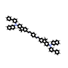 CC1(C)c2cc(/C=C/c3ccc(/C=C/c4ccc5c(c4)C(C)(C)c4cc(N(c6cccc(-c7ccccc7)c6)c6ccc7ccccc7c6)ccc4-5)cc3)ccc2-c2ccc(N(c3cccc(-c4ccccc4)c3)c3ccc4ccccc4c3)cc21